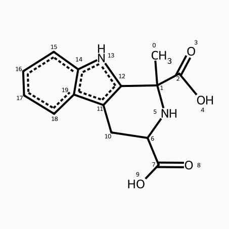 CC1(C(=O)O)NC(C(=O)O)Cc2c1[nH]c1ccccc21